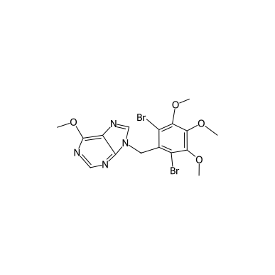 COc1c(Br)c(Cn2cnc3c(OC)ncnc32)c(Br)c(OC)c1OC